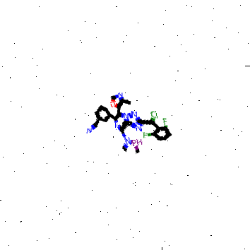 CPN(C)c1nc(-c2cccc(C#N)c2)c(-c2ocnc2C)n2nc(C(Cl)c3c(F)cccc3F)nc12